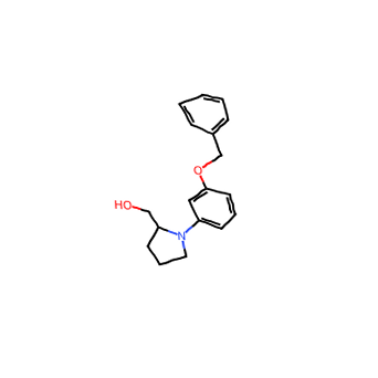 OCC1CCCN1c1cccc(OCc2ccccc2)c1